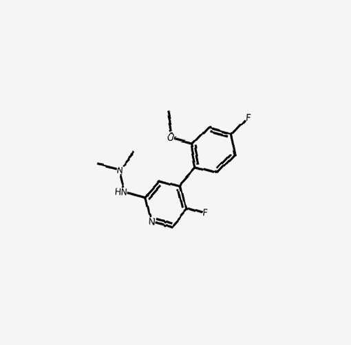 COc1cc(F)ccc1-c1cc(NN(C)C)ncc1F